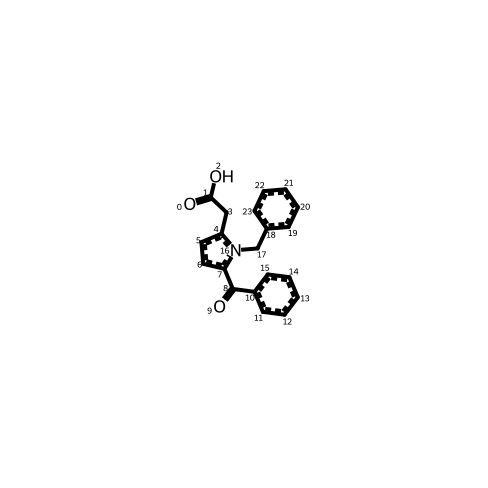 O=C(O)Cc1ccc(C(=O)c2ccccc2)n1Cc1ccccc1